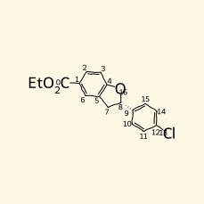 CCOC(=O)c1ccc2c(c1)C[C@@H](c1ccc(Cl)cc1)O2